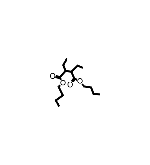 CCCCOC(=O)C(CC)C(CC)C(=O)OCCCC